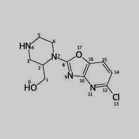 OCC1CNCCN1c1nc2nc(Cl)ccc2o1